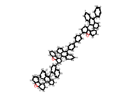 c1ccc(-c2c3ccccc3c(-c3ccc(-c4ccc(-c5ccc(-c6c7ccccc7c(-c7ccc(-c8ccc(-c9c%10ccccc%10c(-c%10cccc%11oc%12ccccc%12c%10%11)c%10ccccc9%10)c9ccccc89)c8oc9ccccc9c78)c7ccccc67)cc5)cc4)c4oc5ccccc5c34)c3ccccc23)cc1